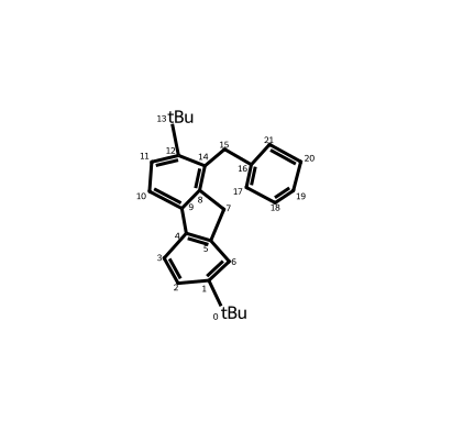 CC(C)(C)c1ccc2c(c1)Cc1c-2ccc(C(C)(C)C)c1Cc1ccccc1